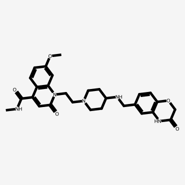 CNC(=O)c1cc(=O)n(CCN2CCC(NCc3ccc4c(c3)NC(=O)CO4)CC2)c2cc(OC)ccc12